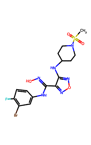 CS(=O)(=O)N1CCC(Nc2nonc2C(=NO)Nc2ccc(F)c(Br)c2)CC1